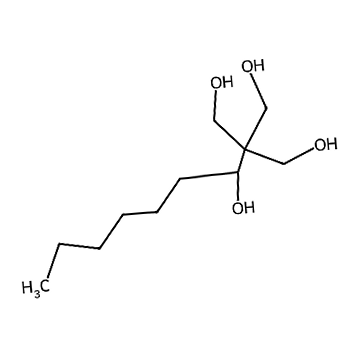 CCCCCCC(O)C(CO)(CO)CO